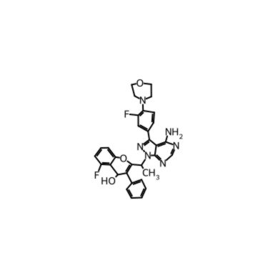 CC(C1=C(c2ccccc2)C(O)c2c(F)cccc2O1)n1nc(-c2ccc(N3CCOCC3)c(F)c2)c2c(N)ncnc21